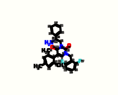 Cc1cc(C)c(-c2cn(Cc3c(F)cccc3F)c(=O)n(C[C@H](N)c3ccccc3)c2=O)c(C)c1